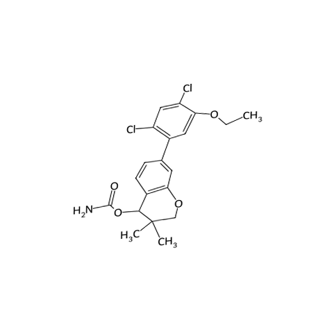 CCOc1cc(-c2ccc3c(c2)OCC(C)(C)C3OC(N)=O)c(Cl)cc1Cl